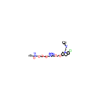 CCCCC(=O)NCCOCCOCCOCCN/C=C(/COCCOc1ccc2c(c1)CCc1ccc(Cl)cc1N2CCCCN(C)C/C=C/C#N)N=N